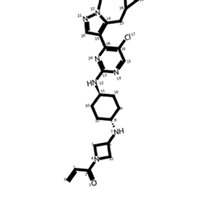 C=CC(=O)N1CC(N[C@H]2CC[C@H](Nc3ncc(Cl)c(-c4cnn(C)c4CC4CC4)n3)CC2)C1